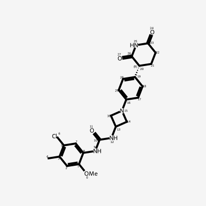 COc1cc(C)c(Cl)cc1NC(=O)NC1CN(c2ccc([C@H]3CCC(=O)NC3=O)cc2)C1